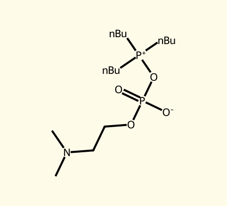 CCCC[P+](CCCC)(CCCC)OP(=O)([O-])OCCN(C)C